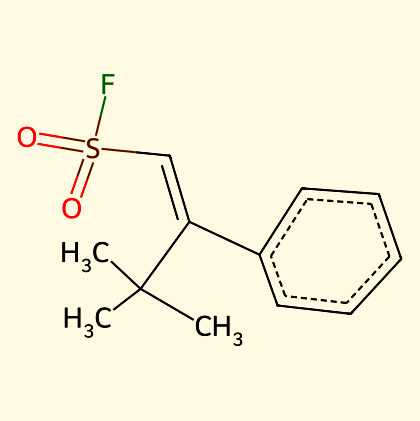 CC(C)(C)/C(=C\S(=O)(=O)F)c1ccccc1